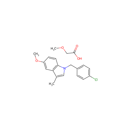 COCC(=O)O.COc1ccc2c(c1)c(C)cn2Cc1ccc(Cl)cc1